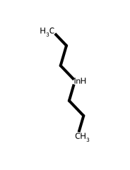 CC[CH2][InH][CH2]CC